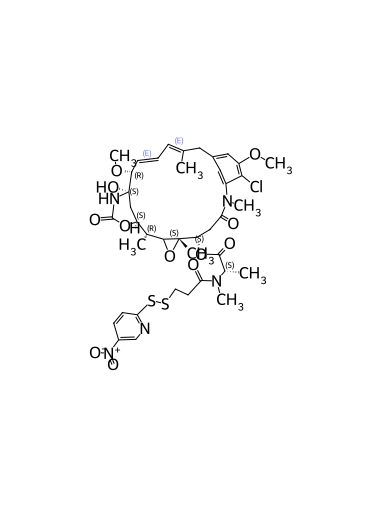 COc1cc2cc(c1Cl)N(C)C(=O)C[C@H](OC(=O)[C@H](C)N(C)C(=O)CCSSc1ccc([N+](=O)[O-])cn1)[C@]1(C)OC1[C@H](C)[C@@H]1C[C@@](O)(NC(=O)O1)[C@H](OC)/C=C/C=C(\C)C2